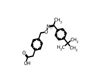 C/C(=N/OCc1ccc(CC(=O)O)cc1)c1ccc(C(C)(C)C)cc1